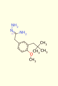 COc1ccc(C/C(N)=N/N)cc1CC(C)(C)C